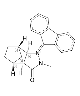 CN1C(=O)[C@H]2[C@@H]3CC[C@@H](C3)[C@H]2[N+]1=C1c2ccccc2-c2ccccc21